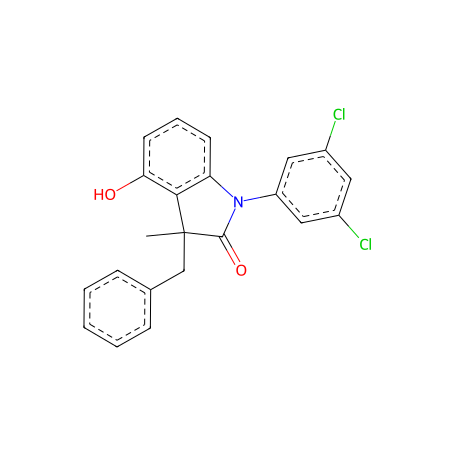 CC1(Cc2ccccc2)C(=O)N(c2cc(Cl)cc(Cl)c2)c2cccc(O)c21